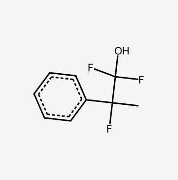 CC(F)(c1ccccc1)C(O)(F)F